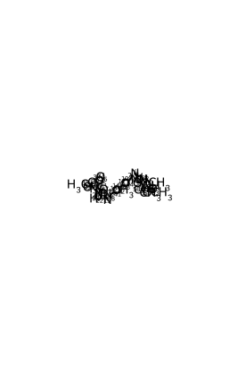 CCCN(Cc1ncc(-c2ccc(-c3ccc(-c4cnc([C@@H]5CCCN5C(=O)[C@@H](NC(=O)OC)C5CCOCC5)[nH]4)cc3)cc2)[nH]1)C(=O)[C@@H](NC(=O)OC)C(C)C